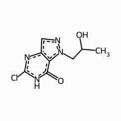 CC(O)Cn1ncc2nc(Cl)[nH]c(=O)c21